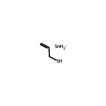 C=CCS.[SnH2]